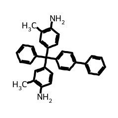 Cc1cc(C(c2ccccc2)(c2ccc(-c3ccccc3)cc2)c2ccc(N)c(C)c2)ccc1N